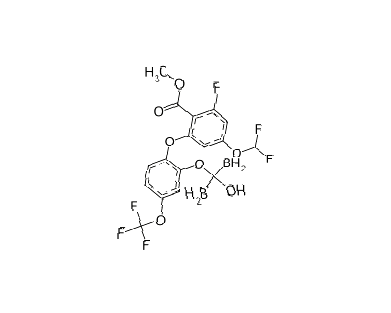 BC(B)(O)Oc1cc(OC(F)(F)F)ccc1Oc1cc(OC(F)F)cc(F)c1C(=O)OC